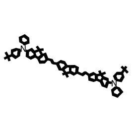 CC(C)(C)c1ccc(N(c2ccccc2)c2ccc3c(c2)C(C)(C)c2cc(/C=C/c4ccc5c(c4)C(C)(C)c4cc(/C=C/c6ccc7c(c6)C(C)(C)c6cc(N(c8ccccc8)c8ccc(C(C)(C)C)cc8)ccc6-7)ccc4-5)ccc2-3)cc1